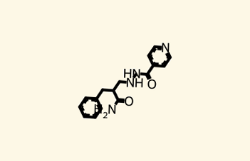 NC(=O)C(CNNC(=O)c1ccncc1)Cc1ccccc1